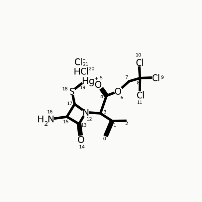 C=C(C)C(C(=O)OCC(Cl)(Cl)Cl)N1C(=O)C(N)C1[S][Hg+].Cl.[Cl-]